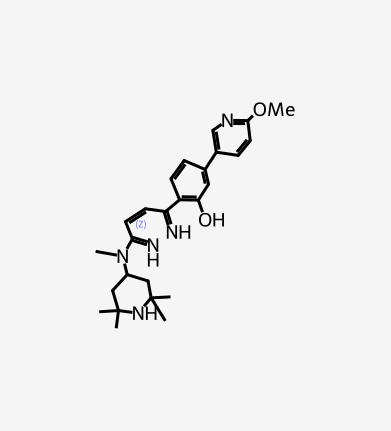 COc1ccc(-c2ccc(C(=N)/C=C\C(=N)N(C)C3CC(C)(C)NC(C)(C)C3)c(O)c2)cn1